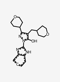 Oc1c(CC2CCOCC2)c(C2CCOCC2)nn1-c1nc2ccccc2[nH]1